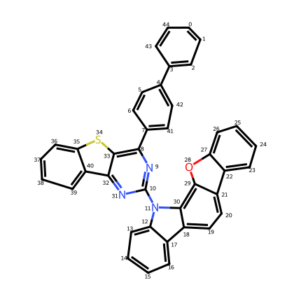 c1ccc(-c2ccc(-c3nc(-n4c5ccccc5c5ccc6c7ccccc7oc6c54)nc4c3sc3ccccc34)cc2)cc1